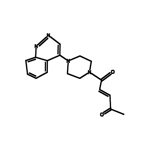 CC(=O)C=CC(=O)N1CCN(c2cnnc3ccccc23)CC1